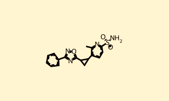 Cc1nc(S(N)(=O)=O)ccc1C1CC1c1nc(-c2ccccc2)no1